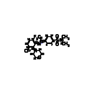 CN(C)S(=O)(=O)c1ccc(/C(=N/c2cccc(Cl)c2N2CCOCC2)C(F)(F)F)cc1